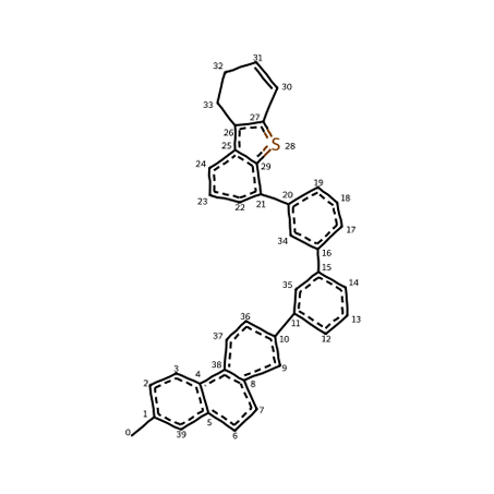 Cc1ccc2c(ccc3cc(-c4cccc(-c5cccc(-c6cccc7c8c(sc67)C=CCC8)c5)c4)ccc32)c1